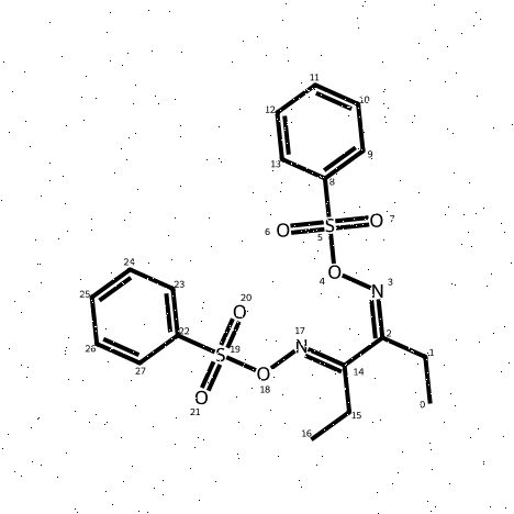 CCC(=NOS(=O)(=O)c1ccccc1)C(CC)=NOS(=O)(=O)c1ccccc1